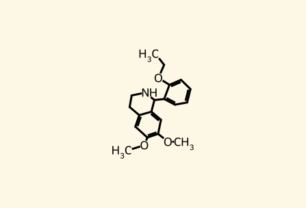 CCOc1ccccc1C1NCCc2cc(OC)c(OC)cc21